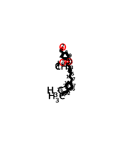 CCOc1cc(C=O)ccc1OCCC=CCCc1ccc(CC(C)C)cc1